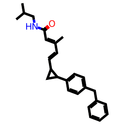 CC(C=CC1CC1c1ccc(Cc2ccccc2)cc1)=CC(=O)NCC(C)C